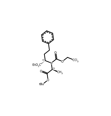 CCOC(=O)[C@H](CCc1ccccc1)N(C(=O)OCC(Cl)(Cl)Cl)[C@@H](C)C(=O)OC(C)(C)C